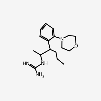 CCCC(c1ccccc1N1CCOCC1)C(C)NC(=N)N